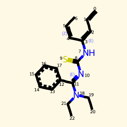 C=C/C=C(\C=C/C)NC(=S)/N=C(\c1ccccc1)N(CC)CC